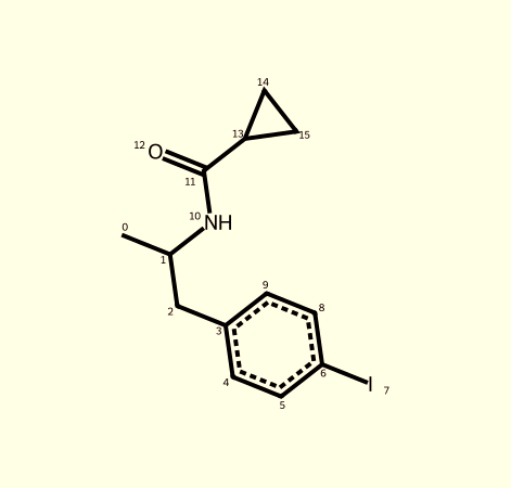 CC(Cc1ccc(I)cc1)NC(=O)C1CC1